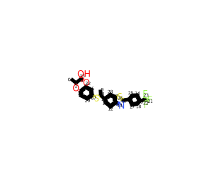 CC(Oc1ccc(SC(C)c2ccc3nc(-c4ccc(C(F)(F)F)cc4)sc3c2)cc1)C(=O)O